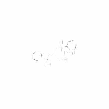 CCCCCC(C)(C[CH]CC(C)(CCO)c1ccccc1)c1ccccc1